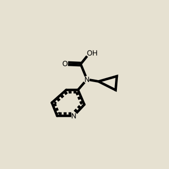 O=C(O)N(c1cccnc1)C1CC1